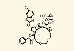 CC1(S(=O)(=O)NC(=O)[C@@]23C[C@H]2/C=C\CCCCC[C@H](NCc2ccccc2)C(=O)N2C[C@H](Oc4nc5ccc(Cl)cc5s4)C[C@H]2C(=O)N3)CC1